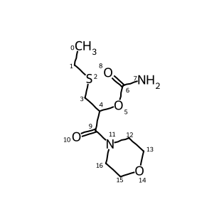 CCSCC(OC(N)=O)C(=O)N1CCOCC1